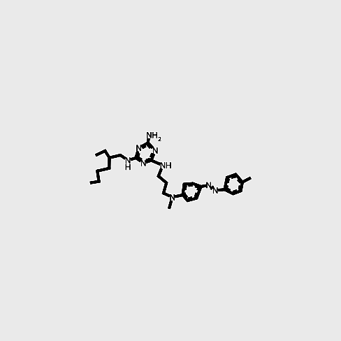 CCCCC(CC)CNc1nc(N)nc(NCCCN(C)c2ccc(N=Nc3ccc(C)cc3)cc2)n1